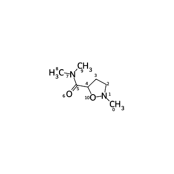 CN1CCC(C(=O)N(C)C)O1